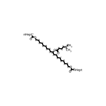 CCCCCCCC(=O)OCCCCCCCCCC(CCCCCCCCCOC(=O)CCCCCCC)OC(=O)CCCN(C)C